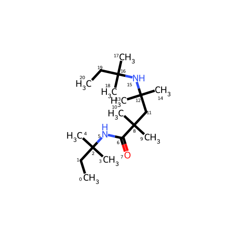 CCC(C)(C)NC(=O)C(C)(C)CC(C)(C)NC(C)(C)CC